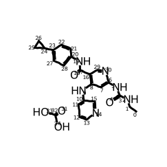 CCNC(=O)Nc1cc(Nc2cccnc2)c(C(=O)Nc2ccc(C3CC3)cc2)cn1.O=C(O)O